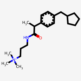 CC(C(=O)NCCC[N+](C)(C)C)c1ccc(CC2CCCC2)cc1